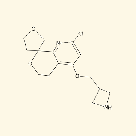 Clc1cc(OCC2CNC2)c2c(n1)C1(CCOC1)OCC2